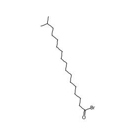 CC(C)CCCCCCCCCCCCCCC(=O)Br